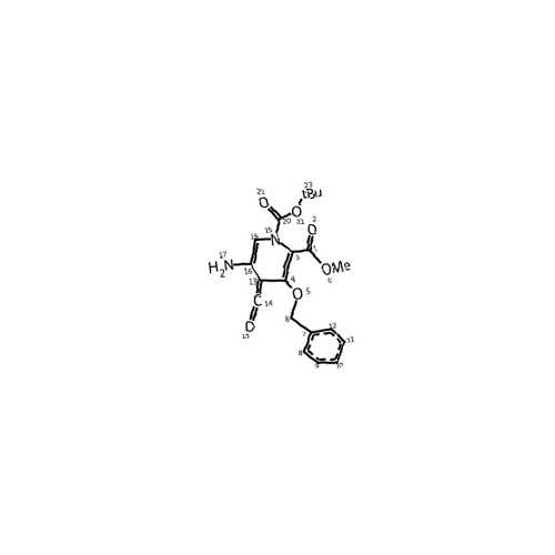 COC(=O)C1=C(OCc2ccccc2)C(=C=O)C(N)=CN1C(=O)OC(C)(C)C